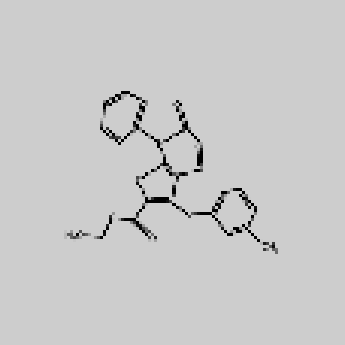 CCOC(=O)c1sc2c(ccc(=O)n2-c2ccccc2)c1Sc1cccc(C)c1